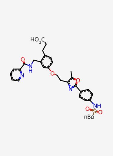 CCCCS(=O)(=O)Nc1ccc(-c2nc(CCOc3ccc(CCC(=O)O)c(CNC(=O)c4ccccn4)c3)c(C)o2)cc1